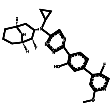 COc1cc(-c2ccc(-c3ncc(N(C4CC4)[C@H]4C[C@]5(C)CCC[C@@H](N5)[C@H]4F)nn3)c(O)c2)c(F)cn1